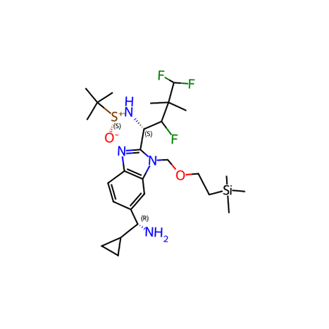 CC(C)(C(F)F)C(F)[C@@H](N[S@+]([O-])C(C)(C)C)c1nc2ccc([C@H](N)C3CC3)cc2n1COCC[Si](C)(C)C